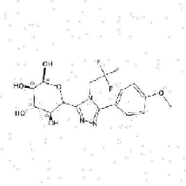 COc1ccc(-c2nnc(C3O[C@H](O)[C@H](O)[C@@H](O)[C@@H]3O)n2CC(F)(F)F)cc1